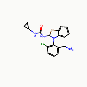 NCc1cccc(Cl)c1N1c2ccccc2SC1NC(=O)NC1CC1